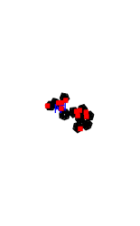 CC1C=CC=CC1c1c(-c2cccc(C3=CCC=CC(c4nc(-c5ccccc5)c5ccc6ccccc6c5n4)=C3)c2)cc(-c2ccccc2)c(-c2ccccc2)c1-c1ccccc1